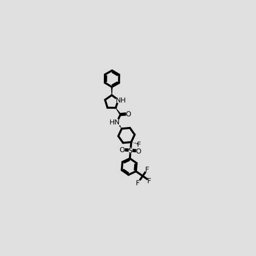 O=C(N[C@H]1CC[C@](F)(S(=O)(=O)c2cccc(C(F)(F)F)c2)CC1)[C@H]1CC[C@@H](c2ccccc2)N1